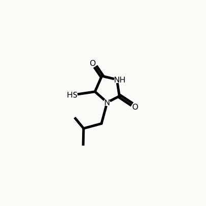 CC(C)CN1C(=O)NC(=O)C1S